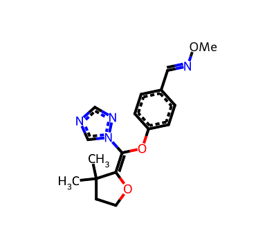 CON=Cc1ccc(OC(=C2OCCC2(C)C)n2cncn2)cc1